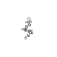 CC(=O)c1ccc(-c2cncc3[nH]c(-c4n[nH]c5cnc(-c6cc#cc(NC(=O)C7CCCCC7)c6)cc45)cc23)s1